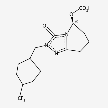 O=C(O)O[C@H]1CCCc2nn(CC3CCC(C(F)(F)F)CC3)c(=O)n21